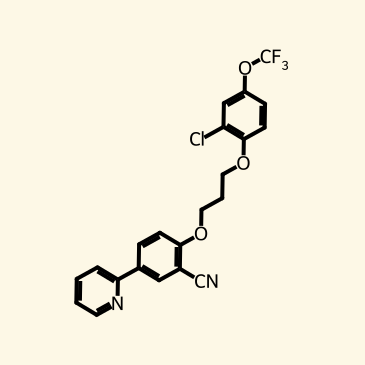 N#Cc1cc(-c2ccccn2)ccc1OCCCOc1ccc(OC(F)(F)F)cc1Cl